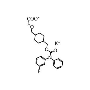 O=C([O-])COCC1CCC(COC(=O)N(c2ccccc2)c2cccc(F)c2)CC1.[K+]